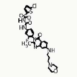 Cc1nc2cc(NCCCN3CCOCC3)ccc2c(=O)n1-c1ccc(NC(=O)NS(=O)(=O)c2ccc(Cl)s2)cc1F